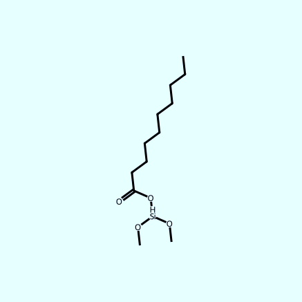 CCCCCCCCCC(=O)O[SiH](OC)OC